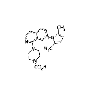 CC1=CC=C(C)[SH]1c1ccc2ccnc(N3CCN(C(=O)O)CC3)c2c1